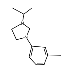 Cc1cccc(N2CCN(C(C)C)C2)c1